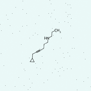 CCCNCCCC#CCC1CC1